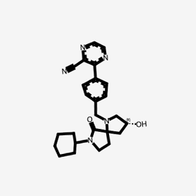 N#Cc1nccnc1-c1ccc(CN2C[C@H](O)CC23CCN(C2CCCCC2)C3=O)cc1